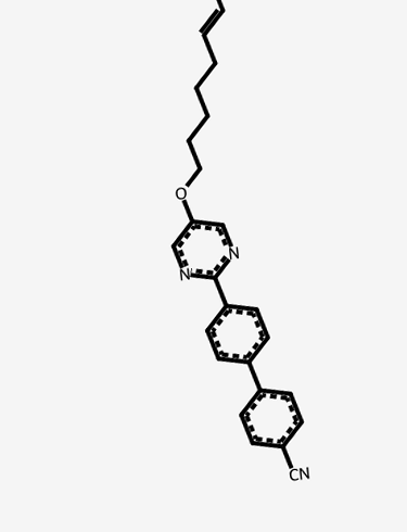 CC=CCCCCCOc1cnc(-c2ccc(-c3ccc(C#N)cc3)cc2)nc1